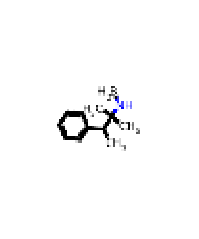 BNC(C)(C)C(C)c1ccccc1